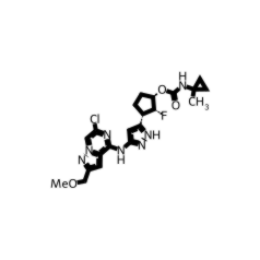 COCc1cc2c(Nc3cc([C@@H]4CC[C@H](OC(=O)NC5(C)CC5)[C@@H]4F)[nH]n3)nc(Cl)cn2n1